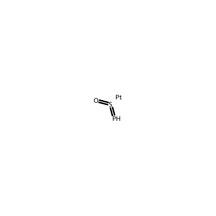 O=S=P.[Pt]